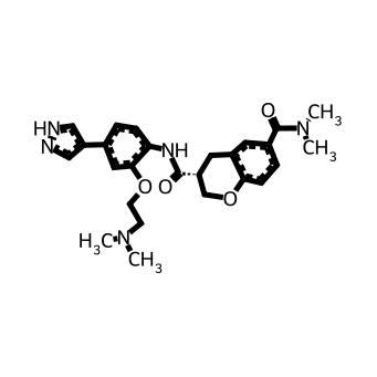 CN(C)CCOc1cc(-c2cn[nH]c2)ccc1NC(=O)[C@H]1COc2ccc(C(=O)N(C)C)cc2C1